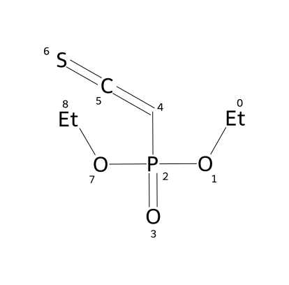 CCOP(=O)(C=C=S)OCC